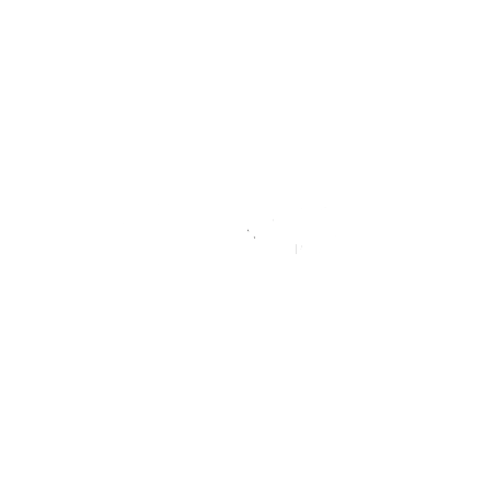 c1ccc(-c2ccc3c4ccc5c6c4n(c3c2)-c2ccccc2B6c2ccccc2O5)cc1